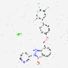 Cl.O=c1c2cccc(COc3ccc(-c4cc(F)c(F)cc4F)cc3)c2[nH]n1-c1cccnc1